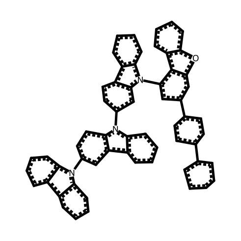 c1ccc(-c2ccc(-c3cc(-n4c5ccccc5c5ccc(-n6c7ccccc7c7cc(-n8c9ccccc9c9ccccc98)ccc76)cc54)c4c(c3)oc3ccccc34)cc2)cc1